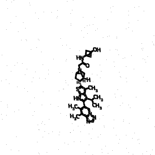 Cc1c(-c2[nH]c3sc([C@@H]4CC5C[C@@H]4CN5CC(=O)NC45CC(O)(C4)C5)c(C)c3c2C(C)C)cn2ncnc2c1C